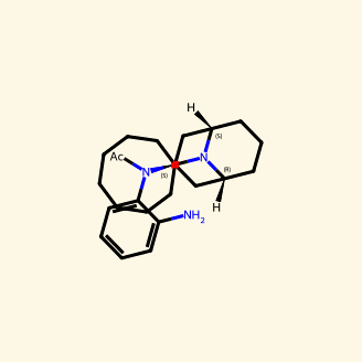 CC(=O)N(c1ccccc1N)[C@@H]1C[C@H]2CCC[C@@H](C1)N2C1CCCCCCC1